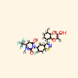 Cc1ccc(-c2nsc3cc(F)c(-n4c(=O)cc(C(F)(F)F)n(C)c4=O)cc23)c(OC(C)C(=O)O)c1